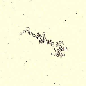 Cc1ncsc1-c1ccc([C@H](C)NC(=O)[C@@H]2C[C@@H](O)CN2C(=O)[C@@H](CCCCCCCC(=O)N2C[C@@H]3C[C@H]2CN3CC[C@H](CSc2ccccc2)Nc2ccc(S(=O)(=O)NC(=O)c3ccc(N4CCN(CC5=C(c6ccc(Cl)cc6)CCCCC5)CC4)cc3)cc2S(=O)(=O)C(F)(F)F)C(C)(C)C)cc1